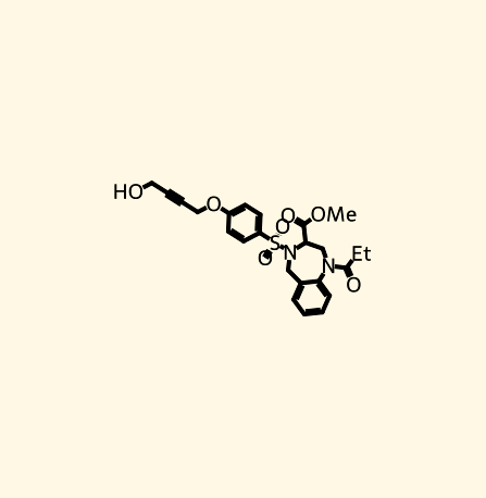 CCC(=O)N1CC(C(=O)OC)N(S(=O)(=O)c2ccc(OCC#CCO)cc2)Cc2ccccc21